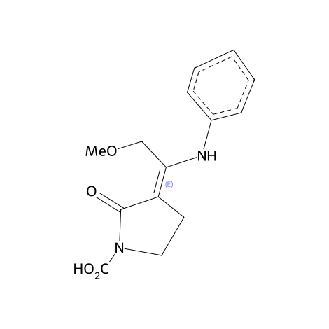 COC/C(Nc1ccccc1)=C1/CCN(C(=O)O)C1=O